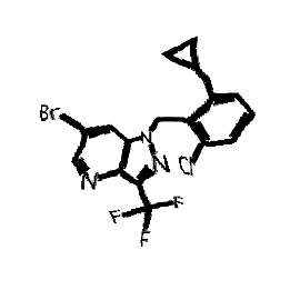 FC(F)(F)c1nn(Cc2c(Cl)cccc2C2CC2)c2cc(Br)cnc12